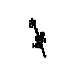 CCCCCCC[C@@]1(O)CC[C@H]2[C@@H](CC(=O)[C@@H]2CC=CCCCC(=O)OC(C)C)C1